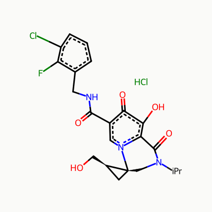 CC(C)N1C[C@]2(C[C@H]2CO)n2cc(C(=O)NCc3cccc(Cl)c3F)c(=O)c(O)c2C1=O.Cl